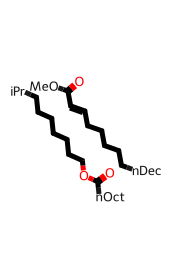 CCCCCCCCC(=O)OCCCCCCCC(C)C.CCCCCCCCCCCCCCCC=CC(=O)OC